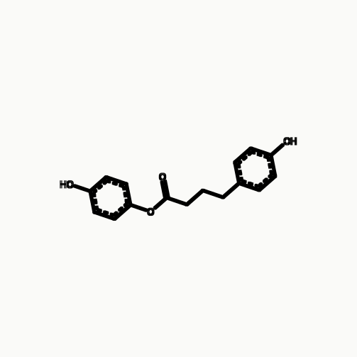 O=C(CCCc1ccc(O)cc1)Oc1ccc(O)cc1